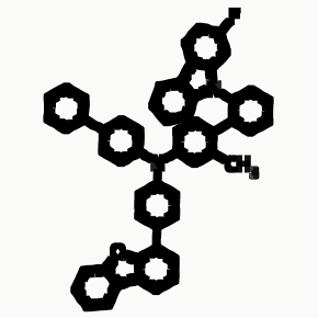 Cc1cc(N(c2ccc(-c3ccccc3)cc2)c2ccc(-c3cccc4c3oc3ccccc34)cc2)ccc1-c1ccccc1-n1c2ccccc2c2ccc(F)cc21